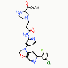 COC(=O)C1CN(CCC(=O)Nc2cc(N3CCOc4cnc(-c5cc(Cl)ccc5F)cc43)ccn2)CCN1